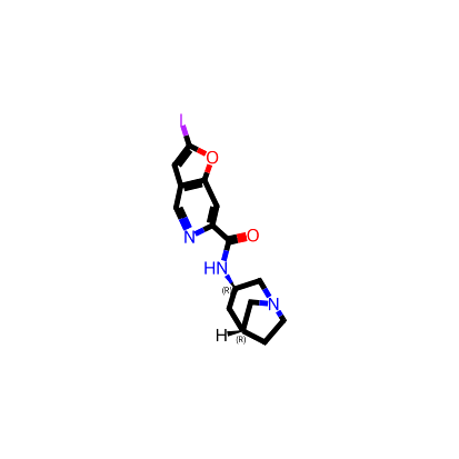 O=C(N[C@@H]1C[C@H]2CCN(C2)C1)c1cc2oc(I)cc2cn1